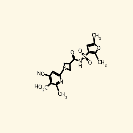 Cc1cc(S(=O)(=O)NC(=O)C2CN(c3cc(C#N)c(C(=O)O)c(C)n3)C2)c(C)o1